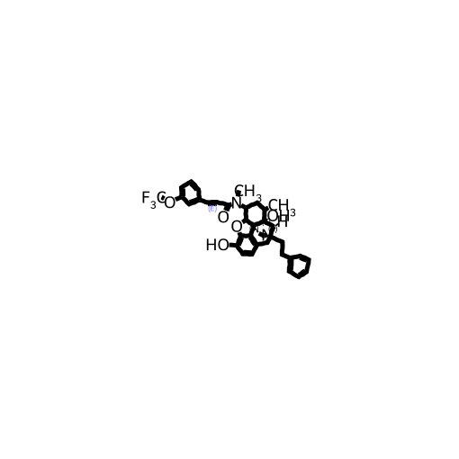 CC1CC(N(C)C(=O)/C=C/c2cccc(OC(F)(F)F)c2)C2Oc3c(O)ccc4c3[C@@]23CCN(CCc2ccccc2)[C@H](C4)[C@]13O